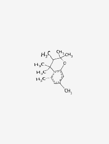 Cc1cc(C)c2c(c1)OC(C)(C)C(C)C2(C)C